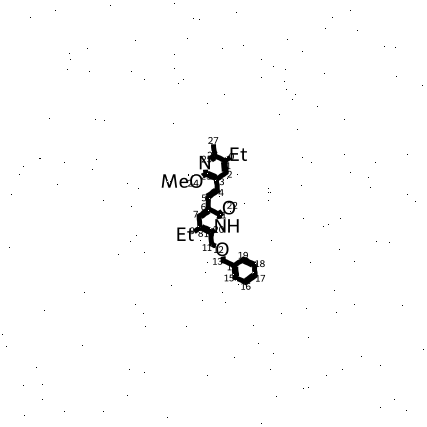 CCc1cc(C=Cc2cc(CC)c(COCc3ccccc3)[nH]c2=O)c(OC)nc1C